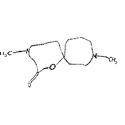 CN1CCC2(CC1)CCN(C)C(=O)O2